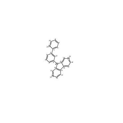 c1ccc(-c2cccc(-n3c4cnccc4c4ccncc43)c2)nc1